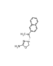 CN(C[C@@H]1COC(N)=N1)c1ccc2ccccc2c1